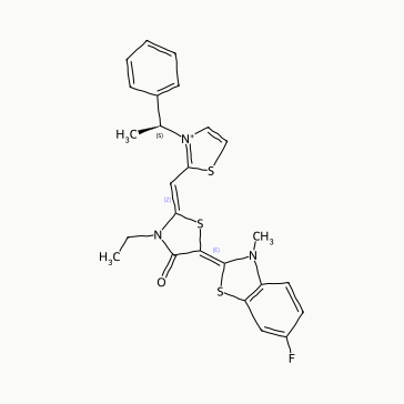 CCn1c(=O)/c(=C2\Sc3cc(F)ccc3N2C)s/c1=C\c1scc[n+]1[C@@H](C)c1ccccc1